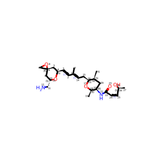 CC(/C=C/[C@@H]1C[C@]2(CO2)C[C@@H](CN)O1)=C\C[C@@H]1O[C@H](C)[C@H](NC(=O)/C=C\[C@H](C)O)C[C@@H]1C